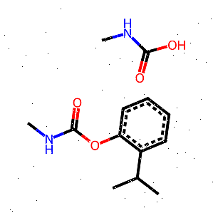 CNC(=O)O.CNC(=O)Oc1ccccc1C(C)C